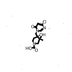 CC1(C)CN(C(=O)O)CC[C@]1(O)Cn1cnc(Cl)cc1=O